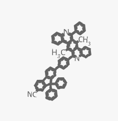 Cc1c2c(-c3ccc(-c4ccc5c(c4)C(c4ccccc4)(c4ccccc4)c4cc(C#N)ccc4-5)cc3)nc3ccccc3c2c(C)c2c(-c3ccccc3)nc3ccccc3c12